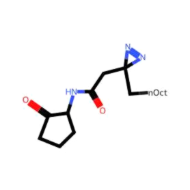 CCCCCCCCCC1(CC(=O)NC2CCCC2=O)N=N1